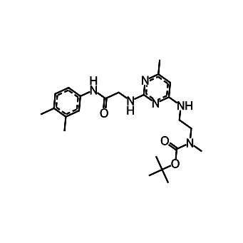 Cc1cc(NCCN(C)C(=O)OC(C)(C)C)nc(NCC(=O)Nc2ccc(C)c(C)c2)n1